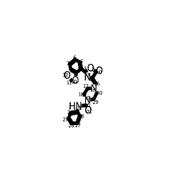 O=C1OC(c2cccc3c2OCO3)=NC1=CN1CCN(C(=O)Nc2ccccc2)CC1